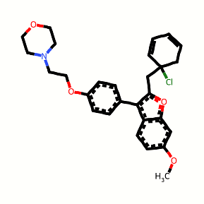 COc1ccc2c(-c3ccc(OCCN4CCOCC4)cc3)c(CC3(Cl)C=CC=CC3)oc2c1